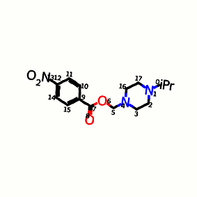 CC(C)N1CCN(COC(=O)c2ccc([N+](=O)[O-])cc2)CC1